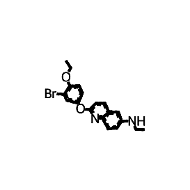 CCNc1ccc2nc(Oc3ccc(OCC)c(Br)c3)ccc2c1